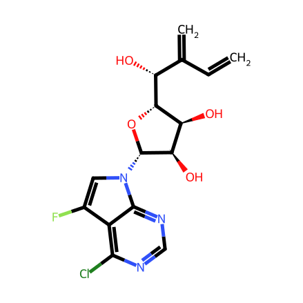 C=CC(=C)[C@@H](O)[C@H]1O[C@@H](n2cc(F)c3c(Cl)ncnc32)[C@H](O)[C@@H]1O